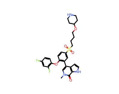 Cn1cc(-c2cc(S(=O)(=O)CCCCOC3CCNCC3)ccc2Oc2ccc(F)cc2F)c2cc[nH]c2c1=O